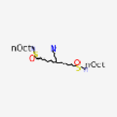 CCCCCCCC/C=C\CSC(=O)CCCCCCCC(CCCCCCCC(=O)SC/C=C\CCCCCCCC)CCCCN(C)C